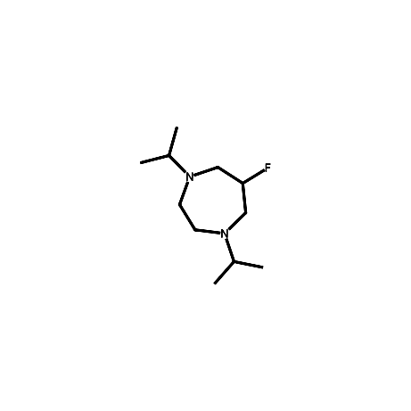 CC(C)N1CCN(C(C)C)CC(F)C1